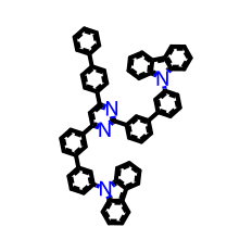 c1ccc(-c2ccc(-c3cc(-c4cccc(-c5cccc(-n6c7ccccc7c7ccccc76)c5)c4)nc(-c4cccc(-c5cccc(-n6c7ccccc7c7ccccc76)c5)c4)n3)cc2)cc1